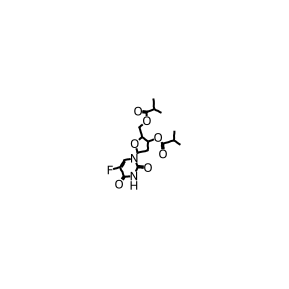 CC(C)C(=O)OCC1OC(n2cc(F)c(=O)[nH]c2=O)CC1OC(=O)C(C)C